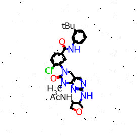 CC(=O)NC1COCC1Nc1ncc2c(n1)N(C)C(=O)N(c1cc(C(=O)Nc3cccc(C(C)(C)C)c3)ccc1Cl)C2